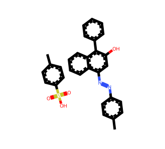 Cc1ccc(N=Nc2cc(O)c(-c3ccccc3)c3ccccc23)cc1.Cc1ccc(S(=O)(=O)O)cc1